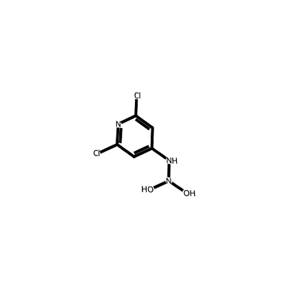 ON(O)Nc1cc(Cl)nc(Cl)c1